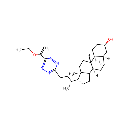 C=C(OCC)c1nnc(CC[C@@H](C)[C@H]2CCC3[C@@H]4CC[C@@H]5C[C@H](O)CC[C@]5(C)[C@H]4CC[C@@]32C)nn1